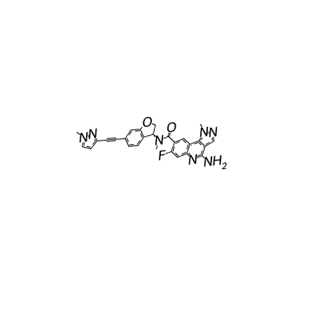 CN(C(=O)c1cc2c(cc1F)nc(N)c1cnn(C)c12)[C@@H]1COc2cc(C#Cc3ccn(C)n3)ccc21